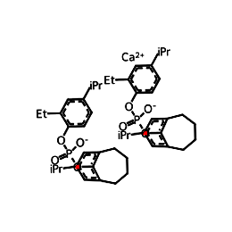 CCc1cc(C(C)C)ccc1OP(=O)([O-])Oc1c2cc(C(C)C)cc1CCCC2.CCc1cc(C(C)C)ccc1OP(=O)([O-])Oc1c2cc(C(C)C)cc1CCCC2.[Ca+2]